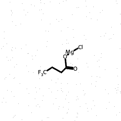 O=C(CCC(F)(F)F)[O][Mg][Cl]